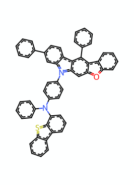 c1ccc(-c2ccc3c4c(-c5ccccc5)c5c(cc4n(-c4ccc(N(c6ccccc6)c6cccc7c6sc6ccccc67)cc4)c3c2)oc2ccccc25)cc1